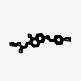 CC(C)(C)OC(=O)CCN1CCc2cc(OCc3ccc(C#N)cc3)ccc2C1=O